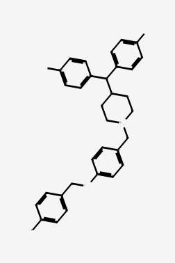 Fc1ccc(C(c2ccc(F)cc2)C2CCN(Cc3ccc(OCc4ccc(Cl)cc4)cc3)CC2)cc1